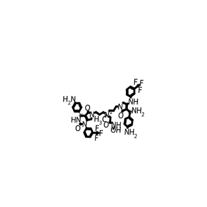 C[N+](CCCN1CC(Nc2cccc(C(F)(F)F)c2)=C([C@H](N)c2ccc(N)cc2)C1=O)(CCCN1CC2=C(C1=O)[C@@H](c1ccc(N)cc1)NC(=O)N2c1cccc(C(F)(F)F)c1)CC(=O)NO